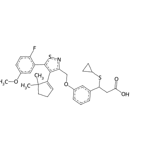 COc1ccc(F)c(-c2snc(COc3cccc(C(CC(=O)O)SC4CC4)c3)c2C2=CCCC2(C)C)c1